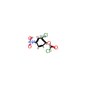 O=C(Cl)Oc1ccc([N+](=O)[O-])cc1Cl